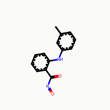 Cc1cccc(Nc2ccccc2C(=O)N=O)c1